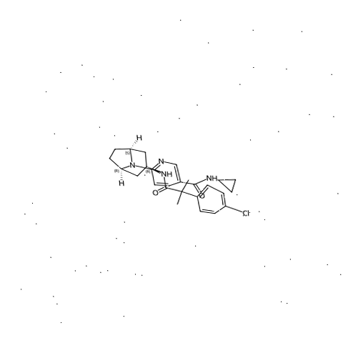 CC(C)(C(=O)N[C@H]1C[C@H]2CC[C@@H](C1)N2c1ccc(C(=O)NC2CC2)cn1)c1ccc(Cl)cc1